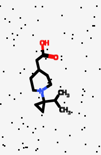 CC(C)C1(N2CCC(CC(=O)O)CC2)CC1